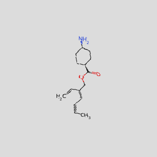 C=C/C(=C\C=C/C)COC(=O)[C@H]1CC[C@@H](N)CC1